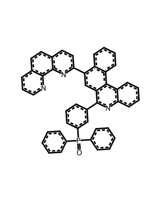 O=P(c1ccccc1)(c1ccccc1)c1cccc(-c2nc3ccccc3c3c2cc(-c2ccc4ccc5cccnc5c4n2)c2ccccc23)c1